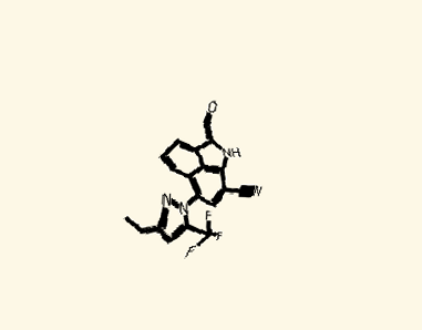 CCc1cc(C(F)(F)F)n(-c2cc(C#N)c3[nH]c(=C=O)c4cccc2c34)n1